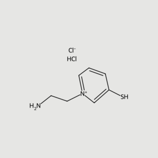 Cl.NCC[n+]1cccc(S)c1.[Cl-]